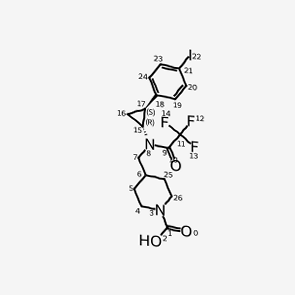 O=C(O)N1CCC(CN(C(=O)C(F)(F)F)[C@@H]2C[C@H]2c2ccc(I)cc2)CC1